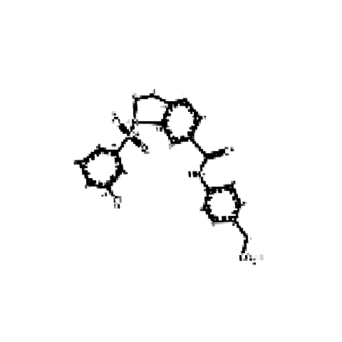 O=C(O)Cc1ccc(NC(=O)c2ccc3c(c2)N(S(=O)(=O)c2cccc(Cl)c2)CC3)cc1